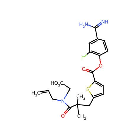 C=CCN(CC(=O)O)C(=O)C(C)(C)Cc1ccc(C(=O)Oc2ccc(C(=N)N)cc2F)s1